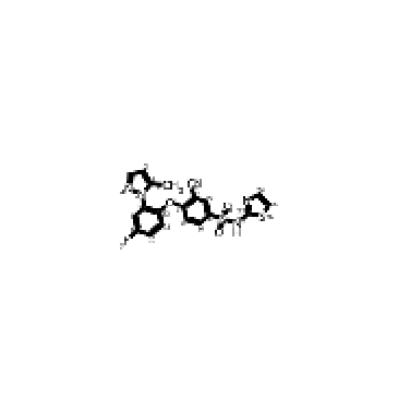 Cc1ccnn1-c1cc(F)ccc1Oc1ccc(S(=O)(=O)Nc2nccs2)cc1C#N